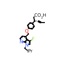 CC#C[C@@H](CC(=O)O)c1ccc(OCc2ccnc3c2c(F)cn3CC(C)C)cc1